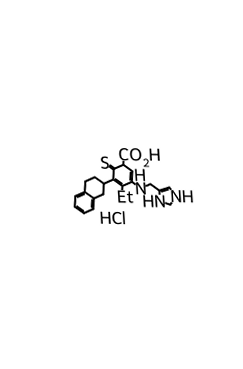 CCC1=C(C2CCc3ccccc3C2)C(=S)C(C(=O)O)C=C1NCC1=CNCN1.Cl